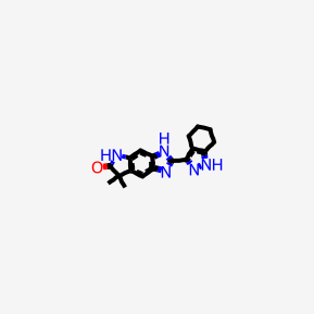 CC1(C)C(=O)Nc2cc3[nH]c(-c4n[nH]c5c4CCCC5)nc3cc21